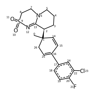 CC1([C@@H]2CCCN3CCS(=O)(=O)N=C23)C=CC(c2ccc(F)c(Cl)c2)=CC1